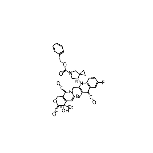 CC[C@@]1(O)C(=C=O)OCC2=C1C=CN(CC1=C(Br)C(=C=O)c3cc(F)ccc3N1[C@@H]1CN(C(=O)OCc3ccccc3)CC13CC3)C2=C=O